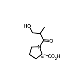 CC(CO)C(=O)N1CCC[C@H]1C(=O)O